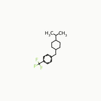 CC(C)C1CCC(Cc2ccc(C(F)(F)F)cc2)CC1